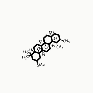 CSC1CC(C)(C)[C@@H]2CC[C@]3(C)[C@H](CC[C@@H]4[C@@H]5[C@@H](C)[C@H](C)CC[C@]5(C)CC[C@]43C)[C@@]2(C)C1